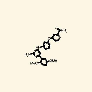 COc1ccc(OC)c(-c2cc(Nc3cccc(Oc4ccnc(C(N)=O)c4)c3)nc(N)n2)c1